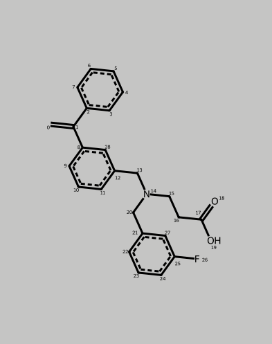 C=C(c1ccccc1)c1cccc(CN(CCC(=O)O)Cc2cccc(F)c2)c1